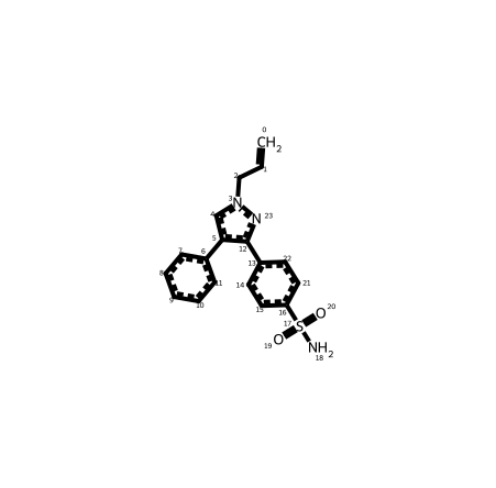 C=CCn1cc(-c2ccccc2)c(-c2ccc(S(N)(=O)=O)cc2)n1